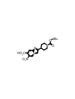 CC(C)(C)OC(=O)N1CCC(c2cn3cc([N+](=O)[O-])c(C(=O)O)cc3n2)CC1